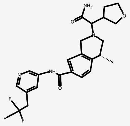 C[C@H]1CN(C(C(N)=O)C2CCOC2)Cc2cc(C(=O)Nc3cncc(CC(F)(F)F)c3)ccc21